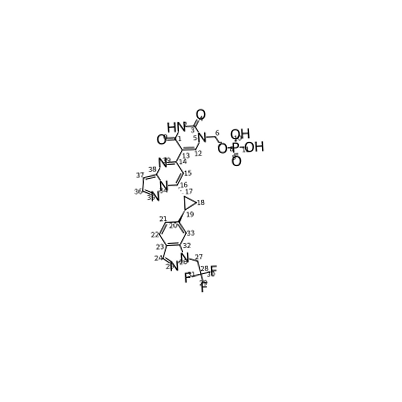 O=c1[nH]c(=O)n(COP(=O)(O)O)cc1-c1cc([C@@H]2C[C@H]2c2ccc3cnn(CC(F)(F)F)c3c2)n2nccc2n1